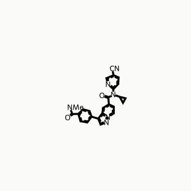 CNC(=O)c1ccc(-c2cnn3ccc(C(=O)N(c4ccc(C#N)cn4)C4CC4)cc23)cc1